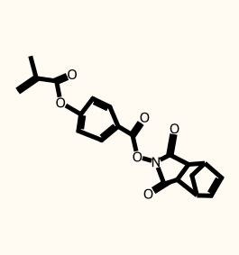 C=C(C)C(=O)Oc1ccc(C(=O)ON2C(=O)C3C4C=CC(C4)C3C2=O)cc1